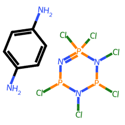 ClN1P(Cl)N=P(Cl)(Cl)N(Cl)P1Cl.Nc1ccc(N)cc1